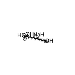 O=C(O)C(O)CCCCCCCCCCCO.[NaH]